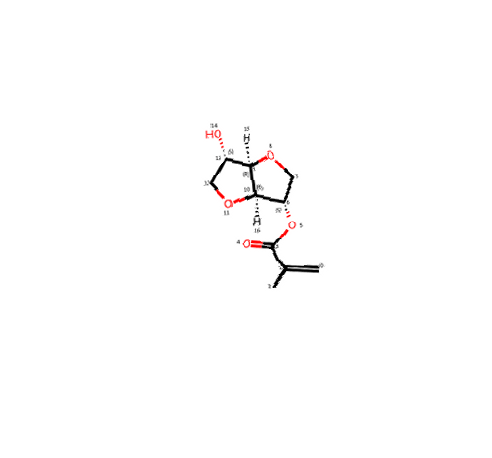 C=C(C)C(=O)O[C@H]1CO[C@H]2[C@@H]1OC[C@@H]2O